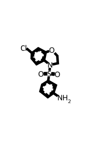 Nc1cccc(S(=O)(=O)N2CCOc3cc(Cl)ccc32)c1